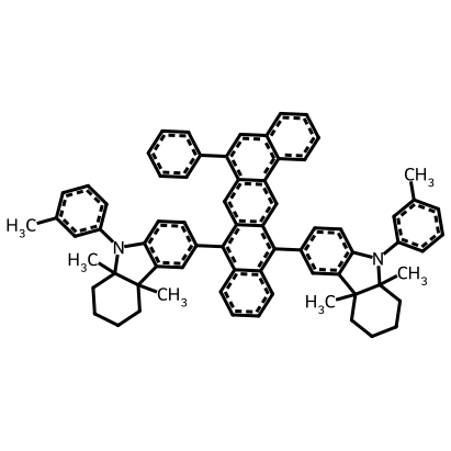 Cc1cccc(N2c3ccc(-c4c5ccccc5c(-c5ccc6c(c5)C5(C)CCCCC5(C)N6c5cccc(C)c5)c5cc6c(cc45)c(-c4ccccc4)cc4ccccc46)cc3C3(C)CCCCC23C)c1